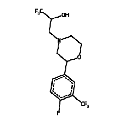 OC(CN1CCOC(c2ccc(F)c(C(F)(F)F)c2)C1)C(F)(F)F